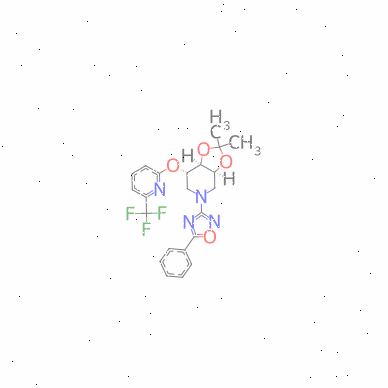 CC1(C)O[C@@H]2[C@@H](Oc3cccc(C(F)(F)F)n3)CN(c3noc(-c4ccccc4)n3)C[C@@H]2O1